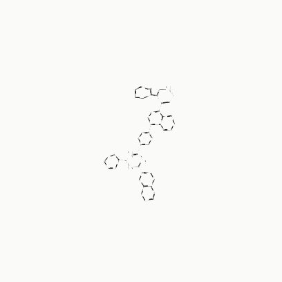 C1=C(c2ccc(-c3ccc(C4=NC(c5ccccc5)NC(c5ccc6ccccc6c5)=N4)cc3)c3ccccc23)c2c(oc3ccccc23)NC1